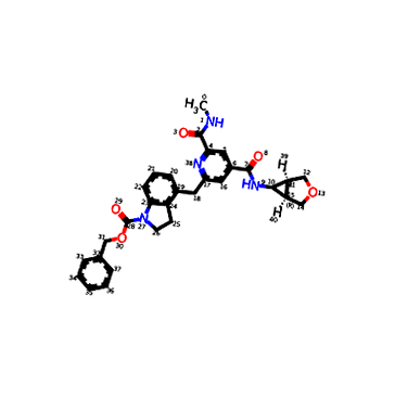 CNC(=O)c1cc(C(=O)NC2[C@H]3COC[C@@H]23)cc(Cc2cccc3c2CCN3C(=O)OCc2ccccc2)n1